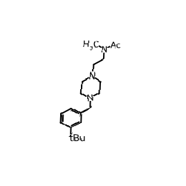 CC(=O)N(C)CCN1CCN(Cc2cccc(C(C)(C)C)c2)CC1